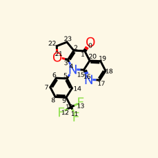 O=c1c2c(n(-c3cccc(C(F)(F)F)c3)c3ncccc13)OCC2